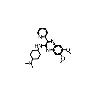 COc1cc2nc(NC3CCC(N(C)C)CC3)c(-c3ccccn3)nc2cc1OC